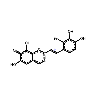 O=c1c(O)cc2cnc(/C=C/c3ccc(O)c(O)c3Br)sc-2c1O